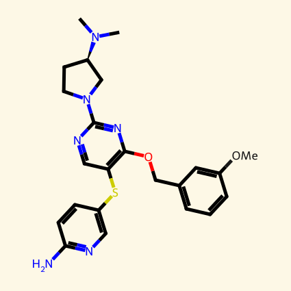 COc1cccc(COc2nc(N3CC[C@@H](N(C)C)C3)ncc2Sc2ccc(N)nc2)c1